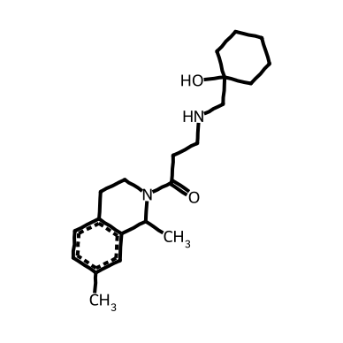 Cc1ccc2c(c1)C(C)N(C(=O)CCNCC1(O)CCCCC1)CC2